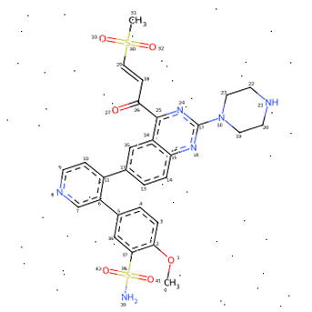 COc1ccc(-c2cnccc2-c2ccc3nc(N4CCNCC4)nc(C(=O)C=CS(C)(=O)=O)c3c2)cc1S(N)(=O)=O